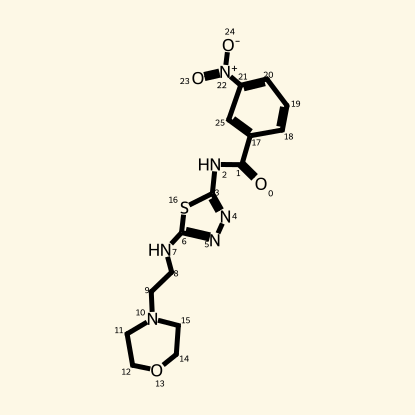 O=C(Nc1nnc(NCCN2CCOCC2)s1)c1cccc([N+](=O)[O-])c1